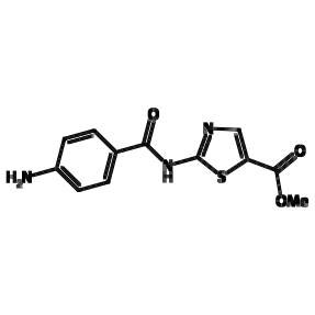 COC(=O)c1cnc(NC(=O)c2ccc(N)cc2)s1